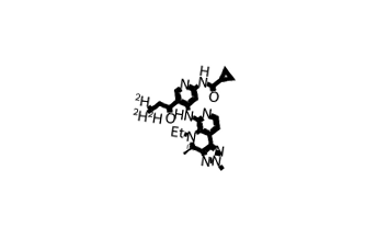 [2H]C([2H])([2H])CC(=O)c1cnc(NC(=O)C2CC2)cc1Nc1nccc2c1N(CC)[C@H](C)c1nn(C)nc1-2